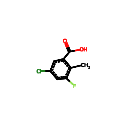 Cc1c(F)cc(Cl)cc1C(=O)O